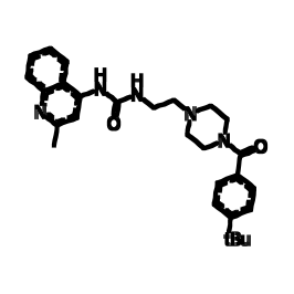 Cc1cc(NC(=O)NCCN2CCN(C(=O)c3ccc(C(C)(C)C)cc3)CC2)c2ccccc2n1